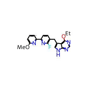 CCOc1ncnc2[nH]cc(Cc3ccc(-c4[c]ccc(OC)n4)nc3F)c12